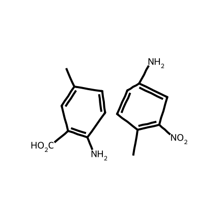 Cc1ccc(N)c(C(=O)O)c1.Cc1ccc(N)cc1[N+](=O)[O-]